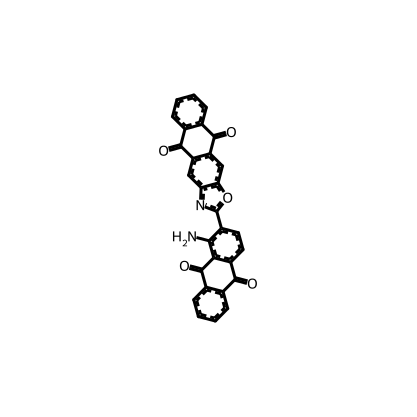 Nc1c(-c2nc3cc4c(cc3o2)C(=O)c2ccccc2C4=O)ccc2c1C(=O)c1ccccc1C2=O